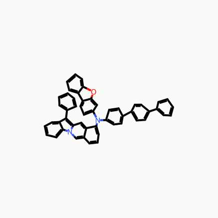 c1ccc(-c2ccc(-c3ccc(N(c4ccc5c(c4)oc4ccccc45)c4cccc5cn6c(cc45)c(-c4ccccc4)c4ccccc46)cc3)cc2)cc1